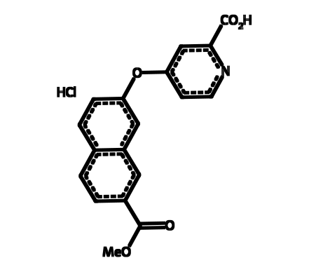 COC(=O)c1ccc2ccc(Oc3ccnc(C(=O)O)c3)cc2c1.Cl